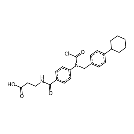 O=C(O)CCNC(=O)c1ccc(N(Cc2ccc(C3CCCCC3)cc2)C(=O)Cl)cc1